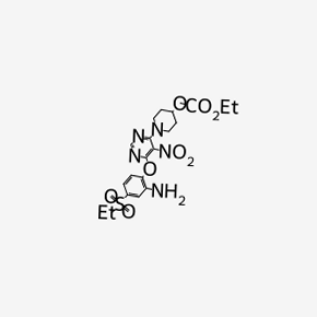 CCOC(=O)OC1CCN(c2ncnc(Oc3ccc(S(=O)(=O)CC)cc3N)c2[N+](=O)[O-])CC1